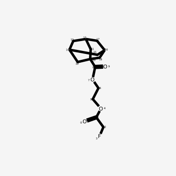 O=C(CF)OCCOC(=O)C12CC3CC(CC(C3)C1)C2